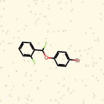 Fc1ccccc1C(F)Oc1ccc(Br)cc1